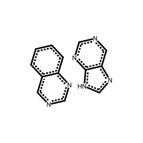 c1ccc2ncncc2c1.c1ncc2nc[nH]c2n1